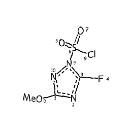 COc1nc(F)n(S(=O)(=O)Cl)n1